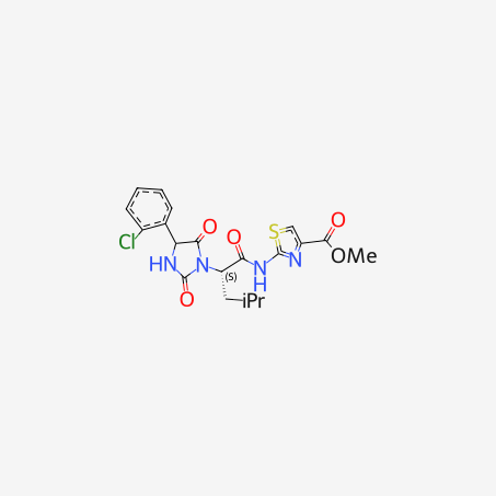 COC(=O)c1csc(NC(=O)[C@H](CC(C)C)N2C(=O)NC(c3ccccc3Cl)C2=O)n1